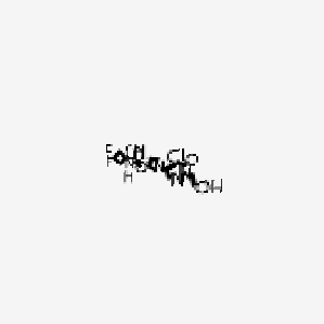 CC1(NC(=O)O[C@@H]2CCN(c3cnn(CCO)c(=O)c3Cl)C2)CC(F)(F)C1